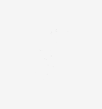 Clc1cc(OCc2csc(-c3ccccc3)n2)cnn1.[H-].[Na+]